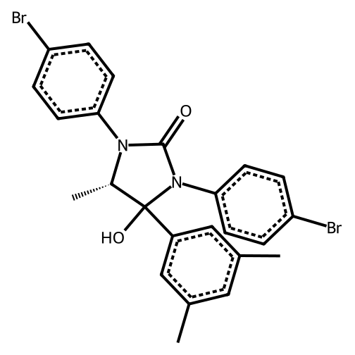 Cc1cc(C)cc(C2(O)[C@H](C)N(c3ccc(Br)cc3)C(=O)N2c2ccc(Br)cc2)c1